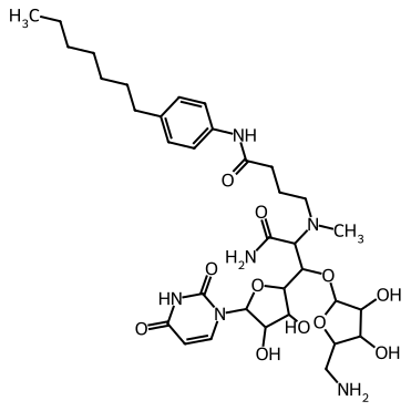 CCCCCCCc1ccc(NC(=O)CCCN(C)C(C(N)=O)C(OC2OC(CN)C(O)C2O)C2OC(n3ccc(=O)[nH]c3=O)C(O)C2O)cc1